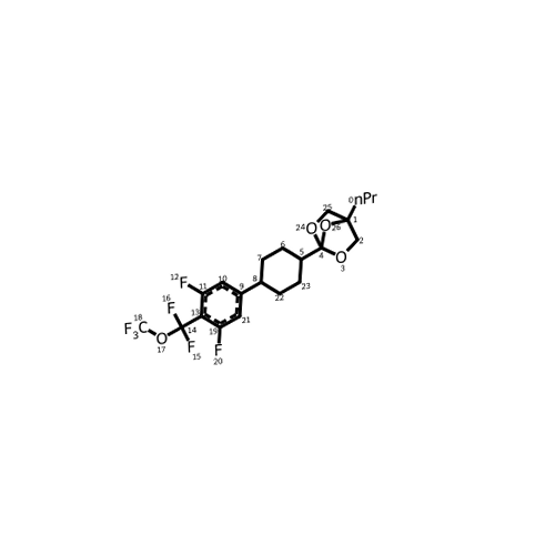 CCCC12COC(C3CCC(c4cc(F)c(C(F)(F)OC(F)(F)F)c(F)c4)CC3)(OC1)O2